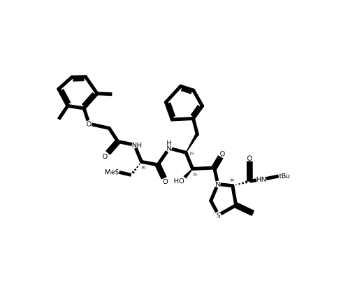 C=C1SCN(C(=O)[C@@H](O)[C@H](Cc2ccccc2)NC(=O)[C@H](CSC)NC(=O)COc2c(C)cccc2C)[C@@H]1C(=O)NC(C)(C)C